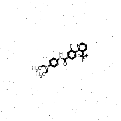 CCN(CC)c1ccc(NC(=O)c2ccc(-c3ncccc3C(F)(F)F)c(F)c2)cc1